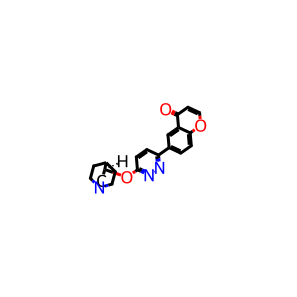 O=c1ccoc2ccc(-c3ccc(O[C@H]4CN5CCC4CC5)nn3)cc12